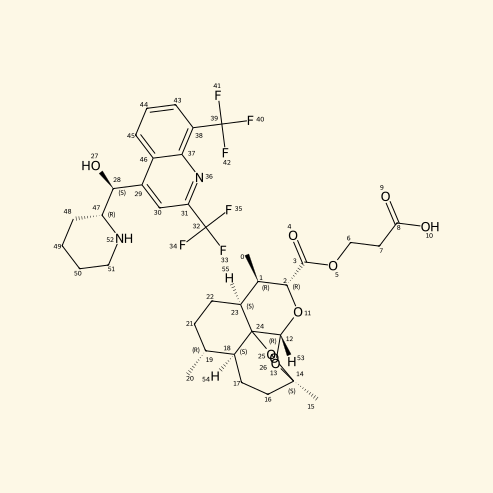 C[C@H]1[C@H](C(=O)OCCC(=O)O)O[C@@H]2O[C@]3(C)CC[C@H]4[C@H](C)CC[C@@H]1C24OO3.O[C@@H](c1cc(C(F)(F)F)nc2c(C(F)(F)F)cccc12)[C@H]1CCCCN1